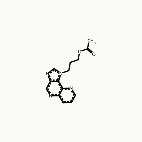 CC(=O)OCCCn1cnc2cnc3cccnc3c21